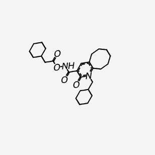 O=C(CC1CCCCC1)ONC(=O)c1cc2c(n(CC3CCCCC3)c1=O)CCCCCC2